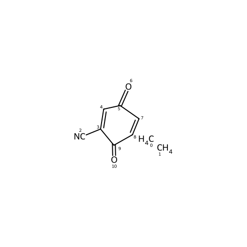 C.C.N#CC1=CC(=O)C=CC1=O